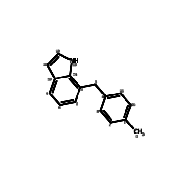 Cc1ccc(Cc2cccc3[c]c[nH]c23)cc1